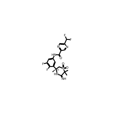 CC1(C)C(=N)N[C@](C)(c2cc(NC(=O)c3cnc(C(F)F)cn3)cc(F)c2F)CS1(=O)=O